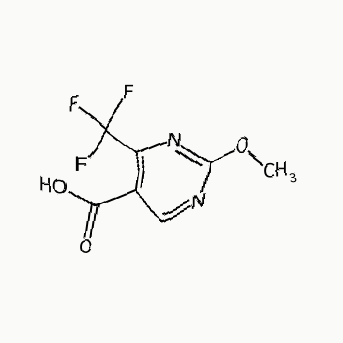 COc1ncc(C(=O)O)c(C(F)(F)F)n1